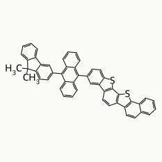 CC1(C)c2ccccc2-c2cc(-c3c4ccccc4c(-c4ccc5sc6c(ccc7c8ccc9ccccc9c8sc76)c5c4)c4ccccc34)ccc21